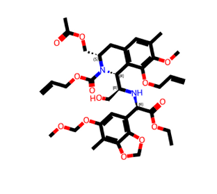 C=CCOC(=O)N1[C@H](COC(C)=O)Cc2cc(C)c(OC)c(OCC=C)c2[C@@H]1[C@H](CO)N[C@@H](C(=O)OCC)c1cc(OCOC)c(C)c2c1OCO2